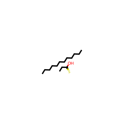 CCC(O)=S.CCCCCCCCCCCC